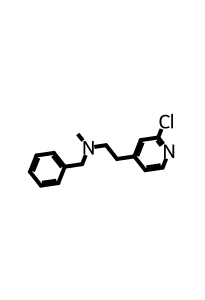 CN(CCc1ccnc(Cl)c1)Cc1ccccc1